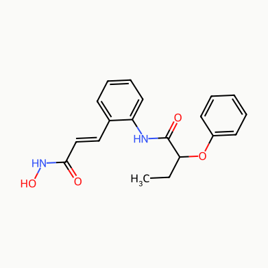 CCC(Oc1ccccc1)C(=O)Nc1ccccc1/C=C/C(=O)NO